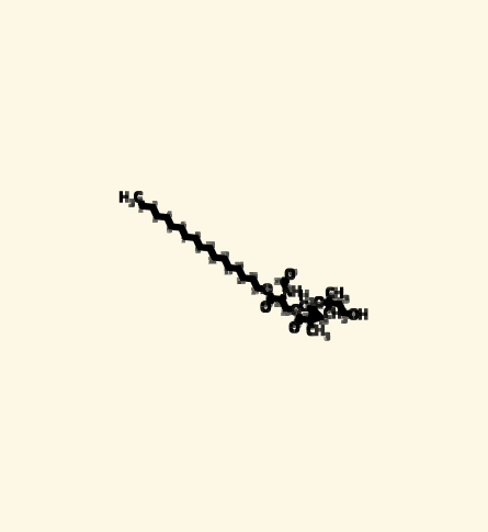 CCCCCCCCCCCCCCCCCCOC(=O)C(COC(=O)C1(C)CC1(C)OC(C)(C)CCO)NC=O